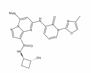 CNc1cc(Nc2cccn(-c3nc(C)co3)c2=O)nc2c(C(=O)N[C@@H]3CC[C@H]3O)cnn12